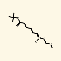 COCS/[P+]([O-])=C/CCCCC(=O)OC(C)(C)C